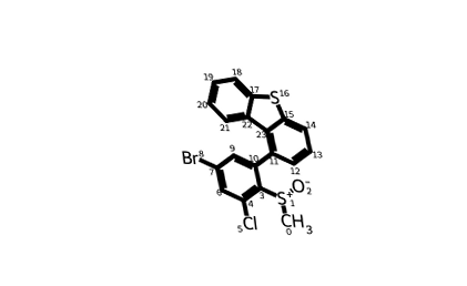 C[S+]([O-])c1c(Cl)cc(Br)cc1-c1cccc2sc3ccccc3c12